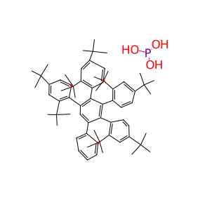 CC(C)(C)c1ccc(-c2cc(-c3ccccc3)c(-c3ccc(C(C)(C)C)cc3C(C)(C)C)c(-c3ccc(C(C)(C)C)cc3C(C)(C)C)c2-c2ccc(C(C)(C)C)cc2C(C)(C)C)c(C(C)(C)C)c1.OP(O)O